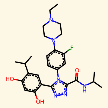 CCN1CCN(c2ccc(-n3c(C(=O)NC(C)C)nnc3-c3cc(C(C)C)c(O)cc3O)cc2F)CC1